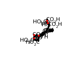 O=C(O)CC[C@H](NC(=O)NC(CCCCNC(=O)[C@H](Cc1ccc2ccccc2c1)NC(=O)C1CCC2(CC1)CN(C(=O)CN1CCN(CC(=O)O)CCN(CC(=O)O)CCN(CC(=O)O)CC1)C2)C(=O)O)C(=O)O